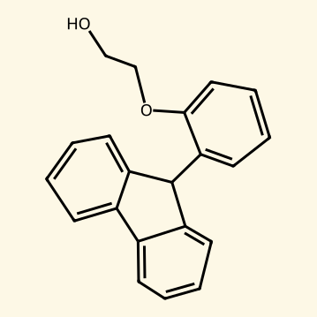 OCCOc1ccccc1C1c2ccccc2-c2ccccc21